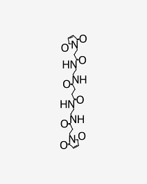 O=C(CCC(=O)NCCNC(=O)CCN1C(=O)C=CC1=O)NCCNC(=O)CCN1C(=O)C=CC1=O